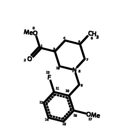 COC(=O)C1CC(C)CN(Cc2c(F)cccc2OC)C1